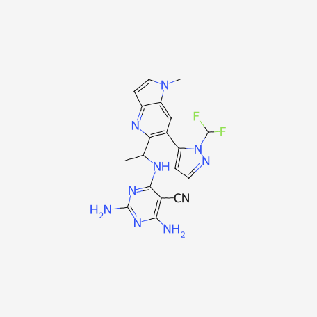 CC(Nc1nc(N)nc(N)c1C#N)c1nc2ccn(C)c2cc1-c1ccnn1C(F)F